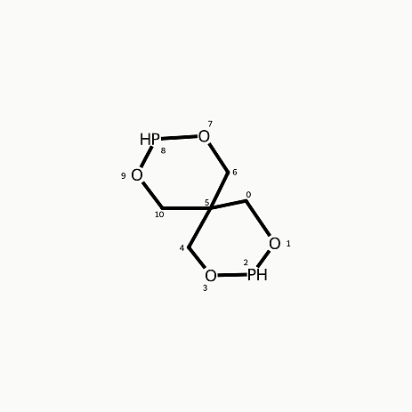 C1OPOCC12COPOC2